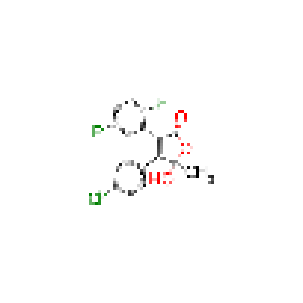 CC1(O)OC(=O)C(c2cc(F)ccc2F)=C1c1ccc(Cl)cc1